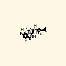 CC(Nc1cc(Nc2cc(C3CC3)n(C)n2)nc(N)n1)c1ccc(F)cc1F